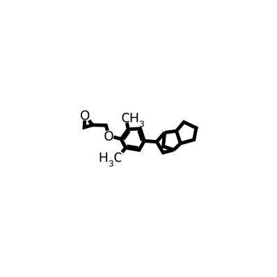 Cc1cc(C2CC3CC2C2CCCC32)cc(C)c1OCC1CO1